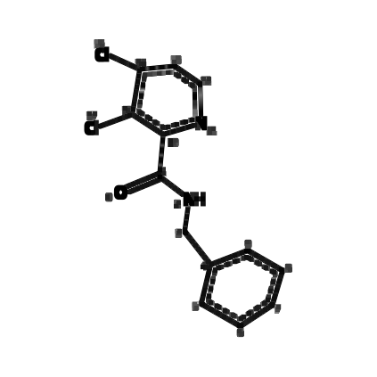 O=C(NCc1ccccc1)c1nccc(Cl)c1Cl